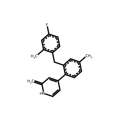 C=C1C=C(c2ccc(C)cc2Cc2ccc(F)cc2C)C=CN1